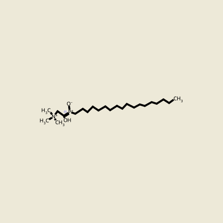 CCCCCCCCCCCCCCCCCC/[P+]([O-])=C(\O)C[N+](C)(C)C